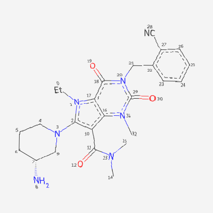 CCn1c(N2CCC[C@@H](N)C2)c(C(=O)N(C)C)c2c1c(=O)n(Cc1ccccc1C#N)c(=O)n2C